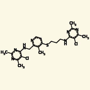 Cc1nc(C)c(Cl)c(NCCCSc2ccnc(CNc3nc(C)nc(C)c3Cl)c2C)n1